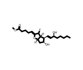 CCCCC[C@H](O)/C=C/[C@@H]1[C@H]2C(F)/C(=C/CCCC(=O)OC)O[C@H]2C[C@H]1O